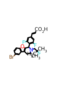 CC1Cc2c(oc3ccc(Br)cc23)C(c2c(F)cc(/C=C/C(=O)O)cc2F)N1CC(C)(C)F